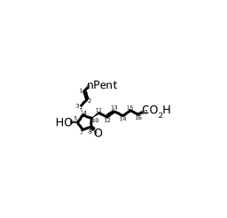 CCCCC/C=C/C[C@H]1[C@H](O)CC(=O)[C@@H]1C/C=C/CCCC(=O)O